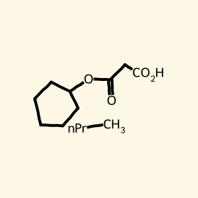 CCCC.O=C(O)CC(=O)OC1CCCCC1